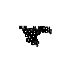 CC(C)c1ccccc1-n1c(=O)nc(N2CCN(C(=O)OC(C)(C)C)CC2C)c2cc(Cl)c(-c3nc(N)ccc3Cl)nc21